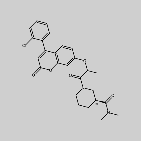 CC(Oc1ccc2c(-c3ccccc3Cl)cc(=O)oc2c1)C(=O)N1CCC[C@H](C(=O)N(C)C)C1